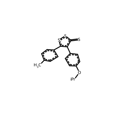 Cc1ccc(-c2ssc(=S)c2-c2ccc(OC(C)C)cc2)cc1